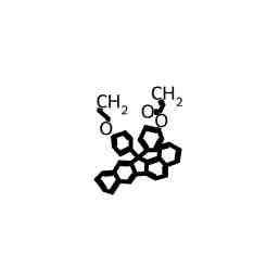 C=CCOc1ccc(C2(c3ccc(OC(=O)C=C)cc3)c3cc4ccccc4cc3-c3ccc4ccccc4c32)cc1